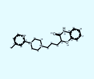 Cc1ccnc(N2CCN(CCCC3Oc4ccccc4NC3=O)CC2)c1